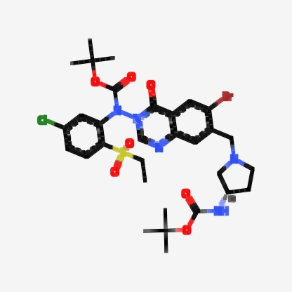 CCS(=O)(=O)c1ccc(Cl)cc1N(C(=O)OC(C)(C)C)n1cnc2cc(CN3CC[C@H](NC(=O)OC(C)(C)C)C3)c(Br)cc2c1=O